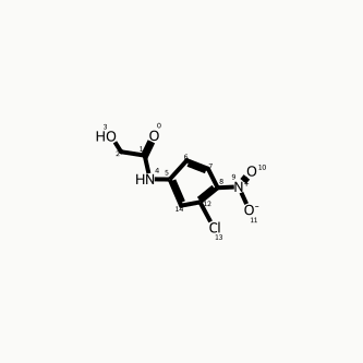 O=C(CO)Nc1ccc([N+](=O)[O-])c(Cl)c1